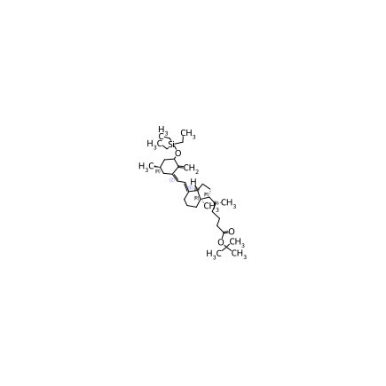 C=C1/C(=C\C=C2/CCC[C@]3(C)[C@@H]([C@H](C)CCCC(=O)OC(C)(C)C)CC[C@@H]23)C[C@@H](C)CC1O[Si](CC)(CC)CC